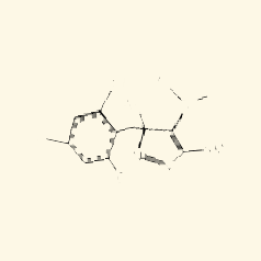 CNC1=C([S+](C)[O-])C(C(C)=O)(c2c(Cl)cc(C(F)(F)F)cc2Cl)N=N1